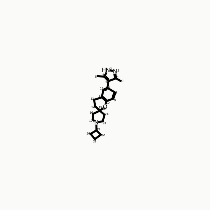 Cc1n[nH]c(C)c1-c1ccc2c(c1)CCC1(CCN(C3CCC3)CC1)O2